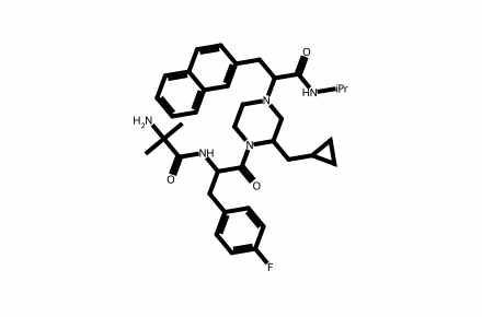 CC(C)NC(=O)C(Cc1ccc2ccccc2c1)N1CCN(C(=O)C(Cc2ccc(F)cc2)NC(=O)C(C)(C)N)C(CC2CC2)C1